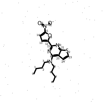 CCCCN(CCCC)c1nc(-c2ccc([N+](=O)[O-])o2)nc2sccc12